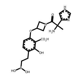 CC(N)(C(=O)N1CC(Oc2ccc(CCB(O)O)c(O)c2C(=O)O)C1)c1c[nH]cn1